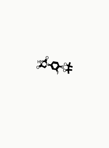 CC1(C)OB(c2ccc(N3CC(=O)NC3=O)cc2F)OC1(C)C